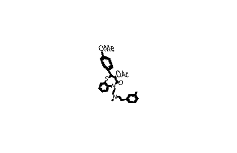 COc1ccc(C2Sc3ccccc3N(CCN(C)CCc3cccc(C)c3)C(=O)C2OC(C)=O)cc1